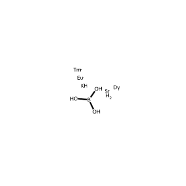 OB(O)O.[Dy].[Eu].[KH].[SrH2].[Tm]